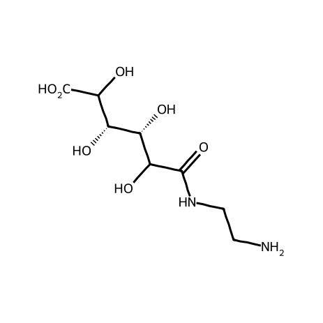 NCCNC(=O)C(O)[C@@H](O)[C@H](O)C(O)C(=O)O